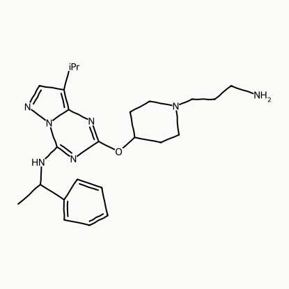 CC(C)c1cnn2c(NC(C)c3ccccc3)nc(OC3CCN(CCCN)CC3)nc12